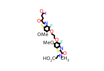 COc1cc2sc(C(=O)CCC(=O)I)nc2c(F)c1OCCCOc1c(OC)cc2sc(C(=O)N(C)CCC(=O)O)nc2c1F